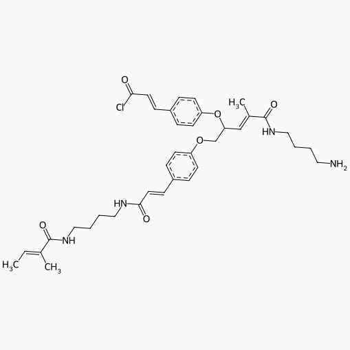 C/C=C(\C)C(=O)NCCCCNC(=O)/C=C/c1ccc(OCC(/C=C(\C)C(=O)NCCCCN)Oc2ccc(/C=C/C(=O)Cl)cc2)cc1